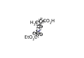 CCOC(=O)CN1C(=O)S/C(=C\c2ccc(-c3cc(C(=O)O)ccc3C)o2)C1=O